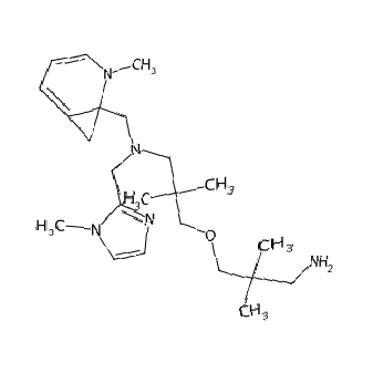 CN1C=CC=C2CC21CN(Cc1nccn1C)CC(C)(C)COCC(C)(C)CN